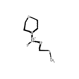 CSCO[NH+]([O-])N1CCOCC1